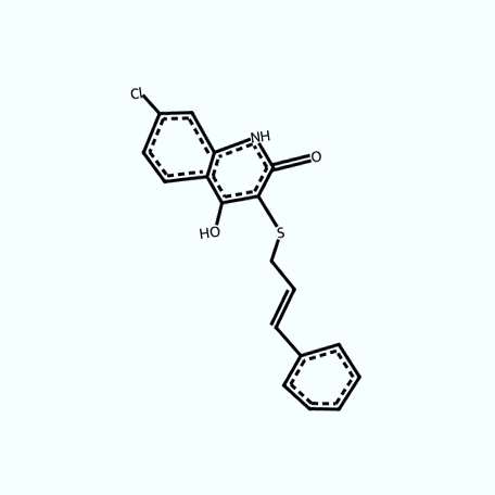 O=c1[nH]c2cc(Cl)ccc2c(O)c1SCC=Cc1ccccc1